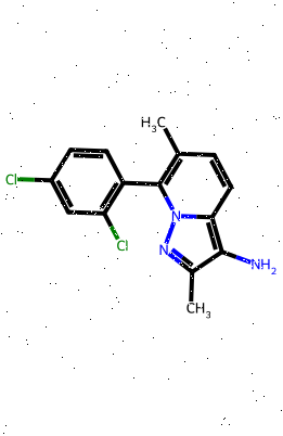 Cc1ccc2c(N)c(C)nn2c1-c1ccc(Cl)cc1Cl